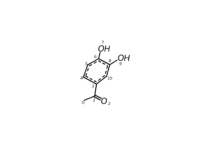 CC(=O)c1ccc(O)c(O)c1